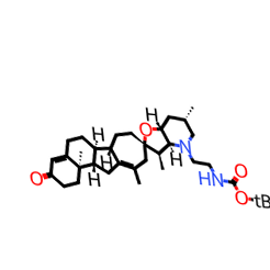 CC1=C2C[C@H]3[C@@H](CCC4=CC(=O)CC[C@@]43C)[C@@H]2CC[C@@]2(C1)O[C@@H]1C[C@H](C)CN(CCNC(=O)OC(C)(C)C)[C@H]1[C@H]2C